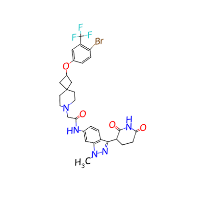 Cn1nc(C2CCC(=O)NC2=O)c2ccc(NC(=O)CN3CCC4(CC3)CC(Oc3ccc(Br)c(C(F)(F)F)c3)C4)cc21